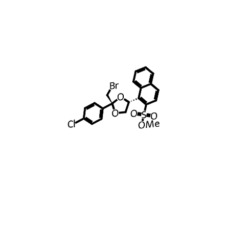 COS(=O)(=O)c1ccc2ccccc2c1[C@@H]1CO[C@](CBr)(c2ccc(Cl)cc2)O1